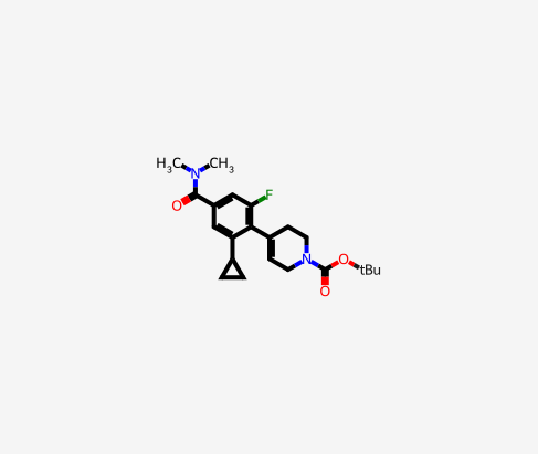 CN(C)C(=O)c1cc(F)c(C2=CCN(C(=O)OC(C)(C)C)CC2)c(C2CC2)c1